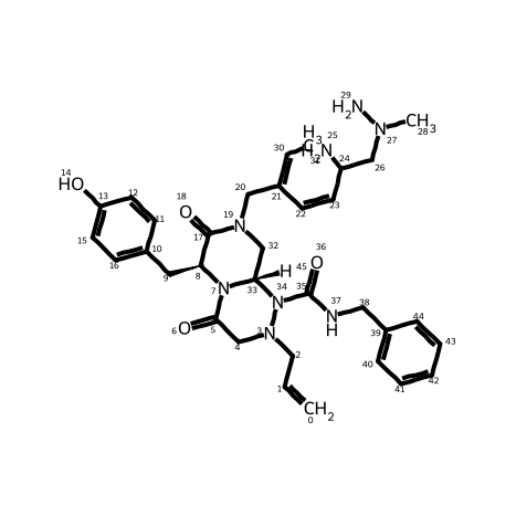 C=CCN1CC(=O)N2[C@@H](Cc3ccc(O)cc3)C(=O)N(CC(/C=C\C(N)CN(C)N)=C/C)C[C@@H]2N1C(=O)NCc1ccccc1